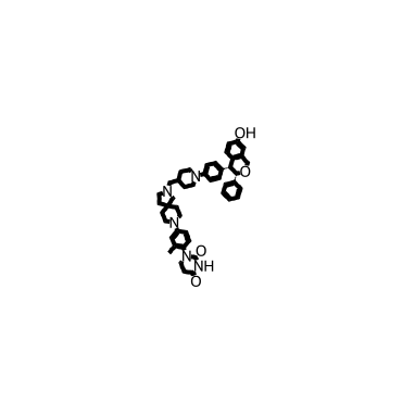 Cc1cc(N2CCC3(CCN(CC4CCN(c5ccc([C@@H]6c7ccc(O)cc7CO[C@@H]6c6ccccc6)cc5)CC4)C3)CC2)ccc1N1CCC(=O)NC1=O